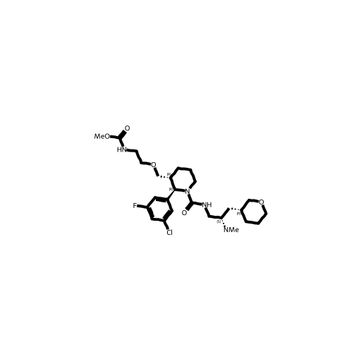 CN[C@H](CNC(=O)N1CCC[C@@H](COCCNC(=O)OC)[C@@H]1c1cc(F)cc(Cl)c1)C[C@H]1CCCOC1